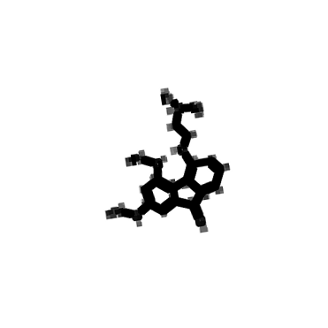 CCCOc1cc(OCCC)c2c(c1)C(=O)c1cccc(OCCN(CC)CC)c1-2